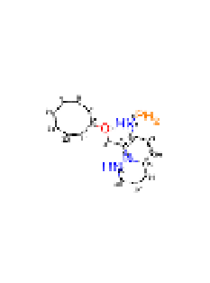 PNC1=C(COC2CCCCCCC2)N2NCCCC2C=C1